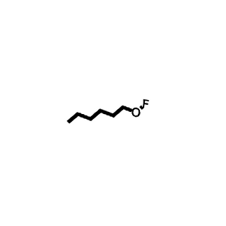 CCCCCCOF